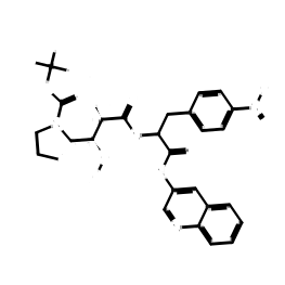 CO[C@H]([C@@H](C)C(=O)NC(Cc1ccc([N+](=O)[O-])cc1)C(=O)Nc1cnc2ccccc2c1)[C@@H]1CCCN1C(=O)OC(C)(C)C